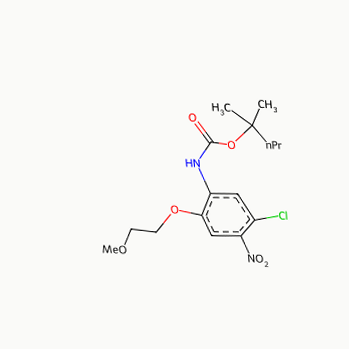 CCCC(C)(C)OC(=O)Nc1cc(Cl)c([N+](=O)[O-])cc1OCCOC